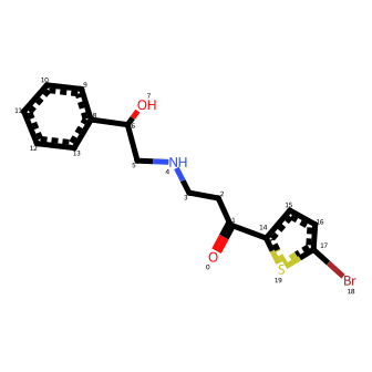 O=C(CCNCC(O)c1ccccc1)c1ccc(Br)s1